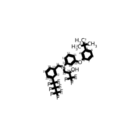 CC(C)(C)c1cccc(Oc2cccc(N(Cc3cccc(C(F)(F)C(F)(F)C(F)(F)F)c3)CC(O)C(F)(F)F)c2)c1